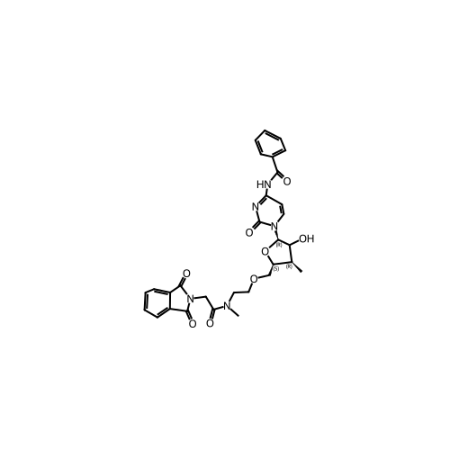 C[C@@H]1C(O)[C@H](n2ccc(NC(=O)c3ccccc3)nc2=O)O[C@@H]1COCCN(C)C(=O)CN1C(=O)c2ccccc2C1=O